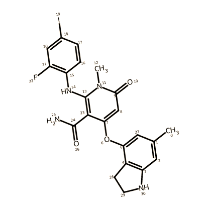 Cc1cc2c(c(Oc3cc(=O)n(C)c(Nc4ccc(I)cc4F)c3C(N)=O)c1)CCN2